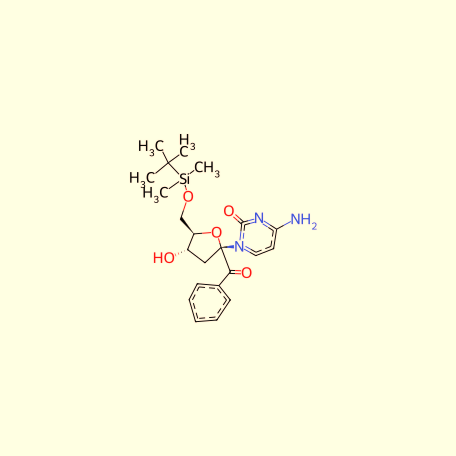 CC(C)(C)[Si](C)(C)OC[C@H]1O[C@@](C(=O)c2ccccc2)(n2ccc(N)nc2=O)C[C@@H]1O